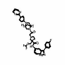 O=C(CN1CCC(COC(F)F)(C(=O)Nc2ccc3[nH]nc(-c4ccc(F)cc4)c3c2)C1)N1C[C@@H]2C[C@H]1CN2c1ccc(-c2ncccn2)cc1